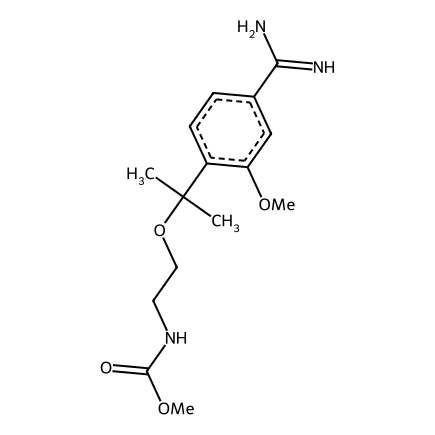 COC(=O)NCCOC(C)(C)c1ccc(C(=N)N)cc1OC